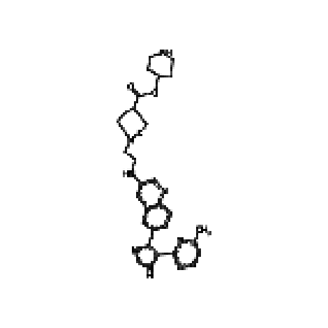 Cc1cccc(-c2[nH]cnc2-c2ccc3ncc(NCCN4CCC(C(=O)OC5CCNCC5)CC4)cc3c2)n1